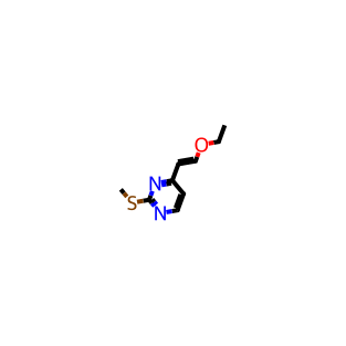 CCO/C=C/c1ccnc(SC)n1